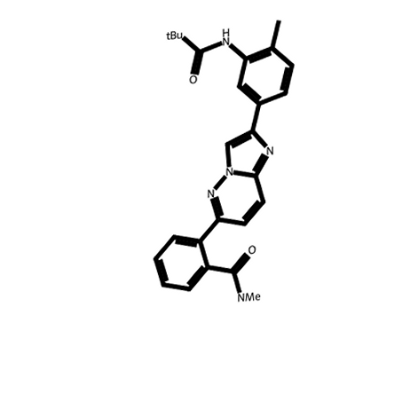 CNC(=O)c1ccccc1-c1ccc2nc(-c3ccc(C)c(NC(=O)C(C)(C)C)c3)cn2n1